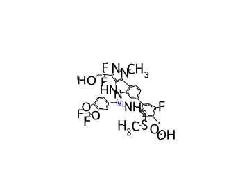 CSc1cc(-c2ccc3c(c2)N(/C(=C\N)c2ccc4c(c2)OC(F)(F)O4)Nc2c(C(F)(F)CO)nn(C)c2-3)cc(F)c1COO